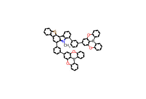 Cn1c2c(-c3cccc(-c4cc5c6c(c4)Oc4ccccc4B6c4ccccc4O5)c3)cccc2c2c3sc4ccccc4c3cc(-c3cccc(-c4cc5c6c(c4)Oc4ccccc4B6c4ccccc4O5)c3)c21